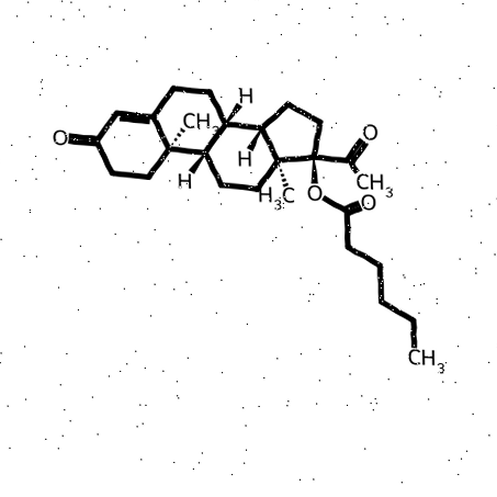 CCCCCC(=O)O[C@]1(C(C)=O)CC[C@H]2[C@H]3CCC4=CC(=O)CC[C@]4(C)[C@H]3CC[C@@]21C